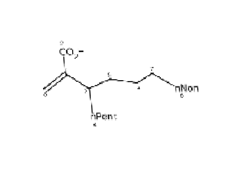 C=C(C(=O)O)C(CCCCC)CCCCCCCCCCCC